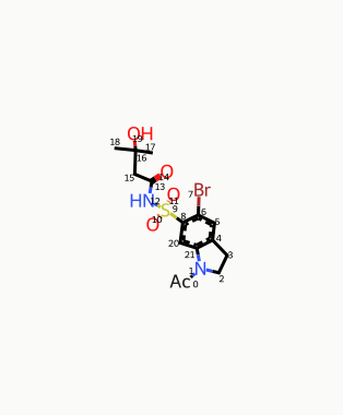 CC(=O)N1CCc2cc(Br)c(S(=O)(=O)NC(=O)CC(C)(C)O)cc21